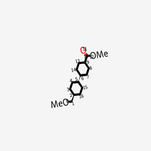 COC[C@H]1CC[C@H](C2CCC(C(=O)OC)CC2)CC1